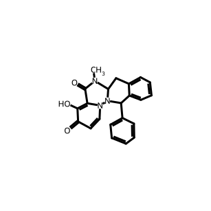 CN1C(=O)c2c(O)c(=O)ccn2N2C(c3ccccc3)c3ccccc3CC12